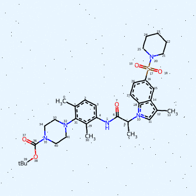 Cc1ccc(NC(=O)C(C)n2cc(C)c3cc(S(=O)(=O)N4CCCCC4)ccc32)c(C)c1N1CCN(C(=O)OC(C)(C)C)CC1